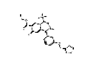 CCOC(=O)c1cn2c(cc1=O)/C(=C1\C=CC=C(OCC3CCOC3)C1)N(C)CC2C(C)(C)C